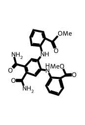 COC(=O)c1ccccc1Nc1cc(C(N)=O)c(C(N)=O)cc1Nc1ccccc1C(=O)OC